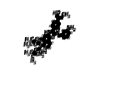 CCC(CO)c1ccc(C(Nc2ccc3c(c2)=CCNC=3N(C(=O)OC(C)(C)C)C(=O)OC(C)(C)C)C(=O)NCc2cccc(N)c2)cc1